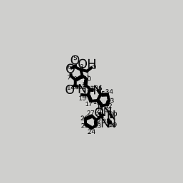 CC[C@@]1(O)C(=O)OCc2c1cc1n(c2=O)Cc2cc3c(OC4(c5ccccc5)N=NN=N4)cccc3nc2-1